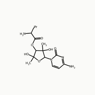 CC(C)C(N)C(=O)OC1C(C)(O)OC(n2ccc(N)nc2=O)C1(C)O